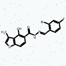 Cc1coc2ccc(C(=O)N/N=C/c3ccc(F)cc3Br)c(O)c12